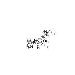 Cc1noc(/N=N/c2cc(/N=N/c3snc4cncnc34)c(O)c(C)c2O)n1